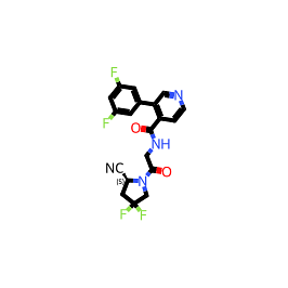 N#C[C@@H]1CC(F)(F)CN1C(=O)CNC(=O)c1ccncc1-c1cc(F)cc(F)c1